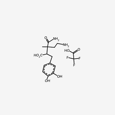 CC(CCN)(C(N)=O)C(Cc1ccc(O)c(O)c1)C(=O)O.O=C(O)C(F)(F)F